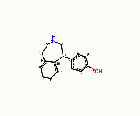 Oc1ccc(C2CNCCC3=CCCC=C32)cc1